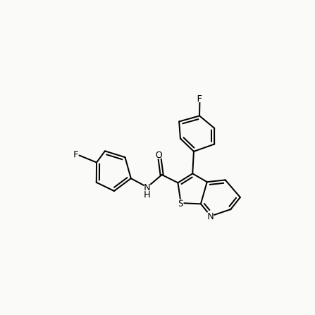 O=C(Nc1ccc(F)cc1)c1sc2ncccc2c1-c1ccc(F)cc1